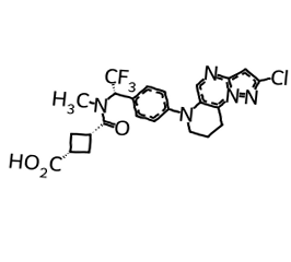 CN(C(=O)[C@H]1C[C@@H](C(=O)O)C1)[C@@H](c1ccc(N2CCCc3c2cnc2cc(Cl)nn32)cc1)C(F)(F)F